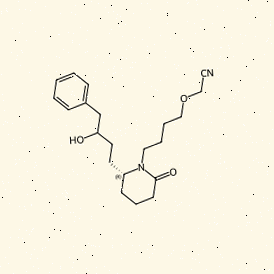 N#CCOCCCCN1C(=O)CCC[C@@H]1CCC(O)Cc1ccccc1